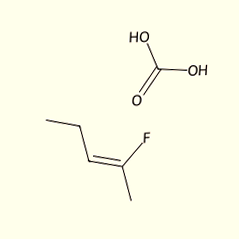 CCC=C(C)F.O=C(O)O